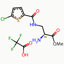 COC(=O)[C@@H](N)CNC(=O)c1ccc(Cl)s1.O=C(O)C(F)(F)F